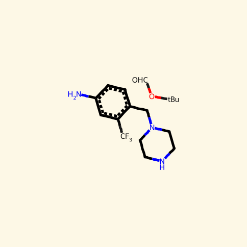 CC(C)(C)OC=O.Nc1ccc(CN2CCNCC2)c(C(F)(F)F)c1